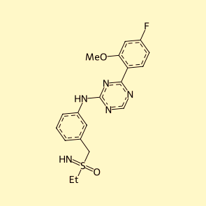 CCS(=N)(=O)Cc1cccc(Nc2ncnc(-c3ccc(F)cc3OC)n2)c1